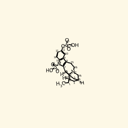 CC[C@H]1C[C@H]2C[C@H]3c4c(c5cc(OS(=O)(=O)O)ccc5n4S(=O)(=O)O)CCN(C2)C13